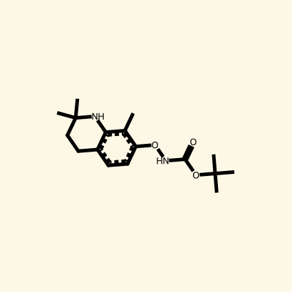 Cc1c(ONC(=O)OC(C)(C)C)ccc2c1NC(C)(C)CC2